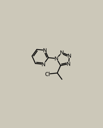 CC(Cl)c1nnnn1-c1ncccn1